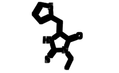 CCN1C(=O)/C(=C/c2cccs2)NC1=S